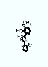 COc1cccc(-c2nc(-c3ncccc3Br)n[nH]2)c1O